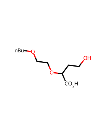 CCCCOCCOC(CCO)C(=O)O